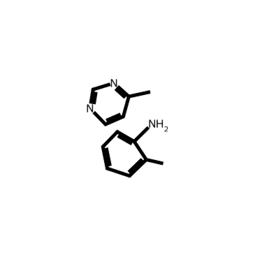 Cc1ccccc1N.Cc1ccncn1